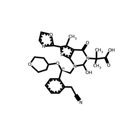 Cc1c(-c2ncco2)sc2c1C(=O)N(C(C)(C)C(=O)O)C(O)N2C[C@H](OC1CCOCC1)c1ccccc1CC#N